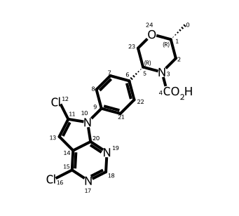 C[C@@H]1CN(C(=O)O)[C@H](c2ccc(-n3c(Cl)cc4c(Cl)ncnc43)cc2)CO1